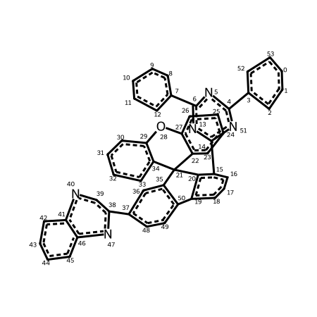 c1ccc(-c2nc(-c3ccccc3)nc(-c3cccc4c3C3(c5ccccc5Oc5ccccc53)c3cc(-c5cnc6ccccc6n5)ccc3-4)n2)cc1